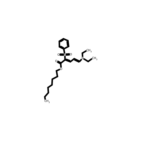 CCCCCCCCOC(=O)/C(=C/C=C/N(CC)CC)S(=O)(=O)c1ccccc1